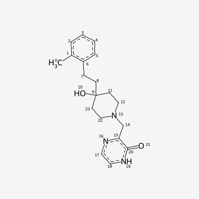 Cc1ccccc1CCC1(O)CCN(Cc2ncc[nH]c2=O)CC1